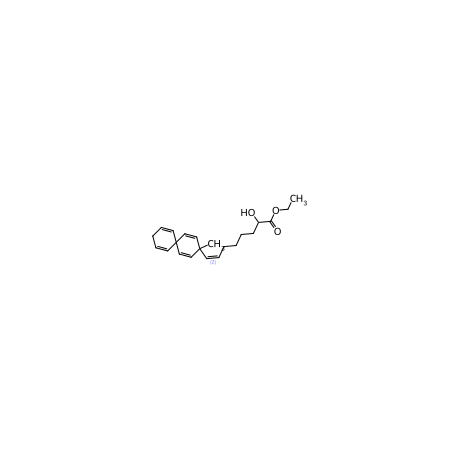 CCOC(=O)C(O)CCCC/C=C\C1(C)C=CC2(C=CCC=C2)C=C1